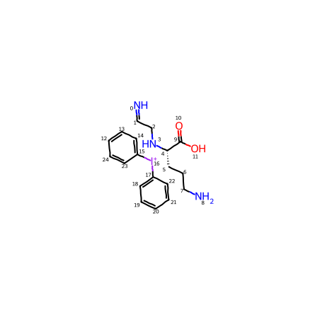 N=CCN[C@@H](CCCN)C(=O)O.c1ccc([I+]c2ccccc2)cc1